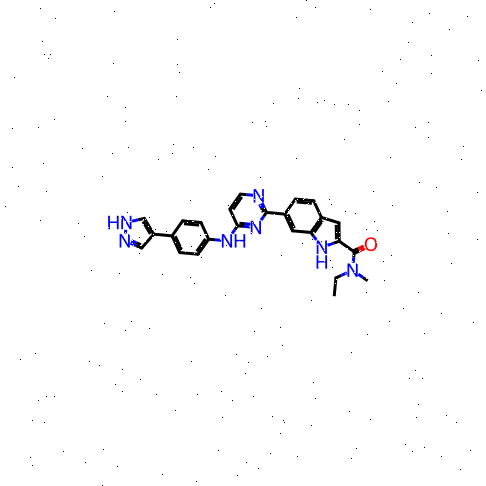 CCN(C)C(=O)c1cc2ccc(-c3nccc(Nc4ccc(-c5cn[nH]c5)cc4)n3)cc2[nH]1